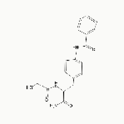 NC(=O)C(Cc1ccc(NC(=O)c2ccccc2)cc1)NC(=O)CO